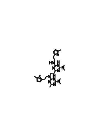 Cc1ccc(CCNC2=NC(CCN(CCc3ccc(C)s3)C3=NC(C)N=C(N(C)C)N3)N=C(N(C)C)N2)s1